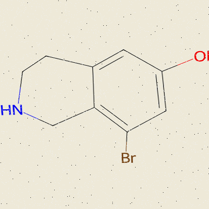 Oc1cc(Br)c2c(c1)CCNC2